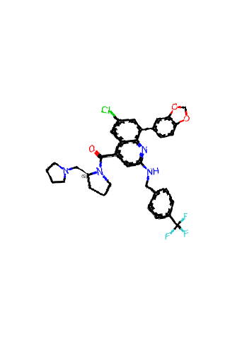 O=C(c1cc(NCc2ccc(C(F)(F)F)cc2)nc2c(-c3ccc4c(c3)OCO4)cc(Cl)cc12)N1CCC[C@H]1CN1CCCC1